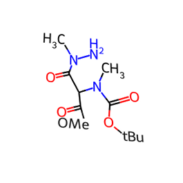 COC(=O)C(C(=O)N(C)N)N(C)C(=O)OC(C)(C)C